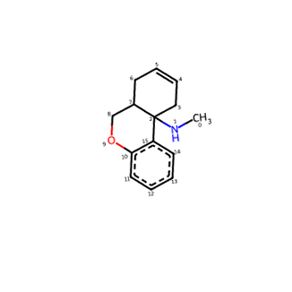 CNC12CC=CCC1COc1ccccc12